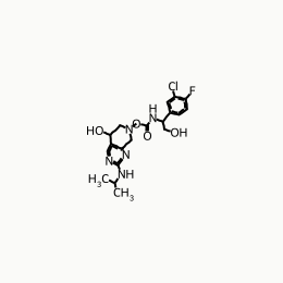 CC(C)Nc1ncc2c(n1)CN(OC(=O)NC(CO)c1ccc(F)c(Cl)c1)CC2O